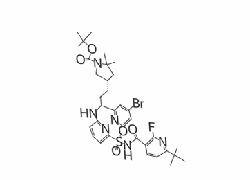 CC(C)(C)OC(=O)N1C[C@@H](CCC(Nc2cccc(S(=O)(=O)NC(=O)c3ccc(C(C)(C)C)nc3F)n2)c2cc(Br)ccn2)CC1(C)C